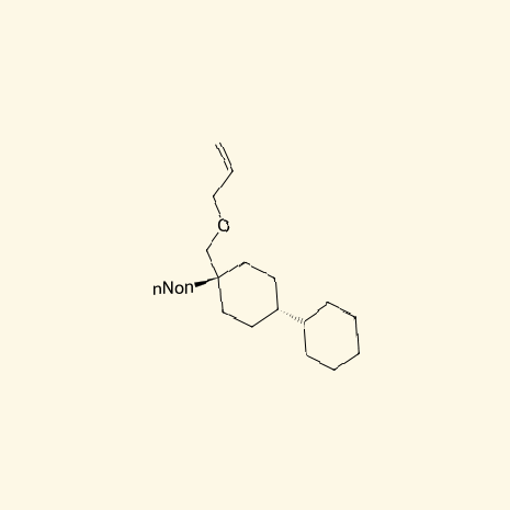 C=CCOC[C@]1(CCCCCCCCC)CC[C@H](C2CCCCC2)CC1